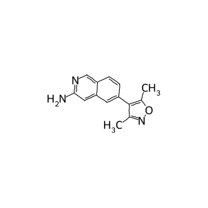 Cc1noc(C)c1-c1ccc2cnc(N)cc2c1